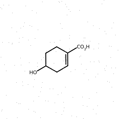 O=C(O)C1=CCC(O)CC1